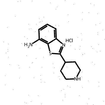 Cl.Nc1cccc2nc(C3CCNCC3)sc12